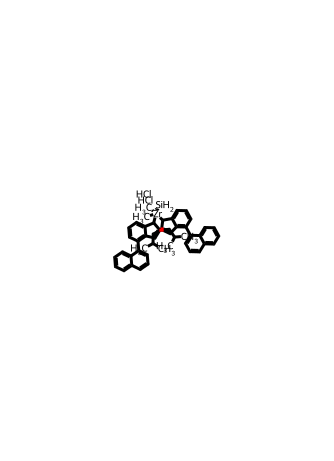 CC(C)CC1=Cc2c(-c3cccc4ccccc34)cccc2[CH]1[Zr]([CH3])([CH3])(=[SiH2])[CH]1C(CC(C)C)=Cc2c(-c3cccc4ccccc34)cccc21.Cl.Cl